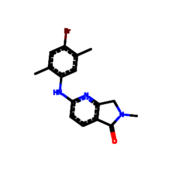 Cc1cc(Nc2ccc3c(n2)CN(C)C3=O)c(C)cc1Br